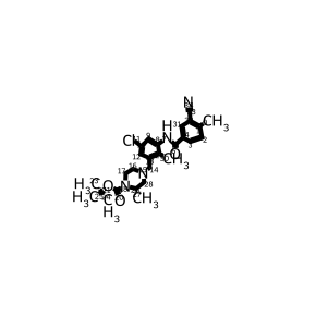 Cc1ccc(C(=O)Nc2cc(Cl)cc(CN3CCN(C(=O)OC(C)(C)C)[C@@H](C)C3)c2C)cc1C#N